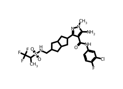 CC(C(F)(F)F)S(=O)(=O)NCC1CC2CC(c3nn(C)c(N)c3C(=O)Nc3ccc(F)c(Cl)c3)CC2C1